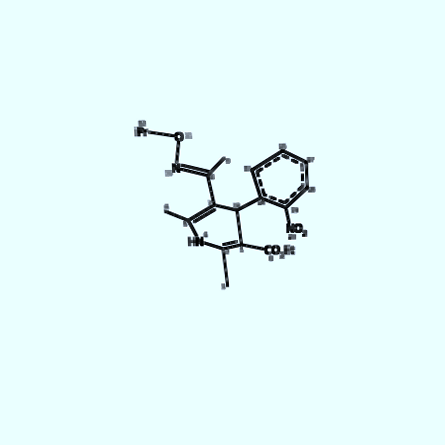 CCOC(=O)C1=C(C)NC(C)=C(C(C)=NOC(C)C)C1c1ccccc1[N+](=O)[O-]